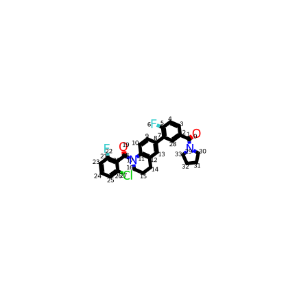 O=C(c1ccc(F)c(-c2ccc3c(c2)CCCN3C(=O)c2c(F)cccc2Cl)c1)N1CCCC1